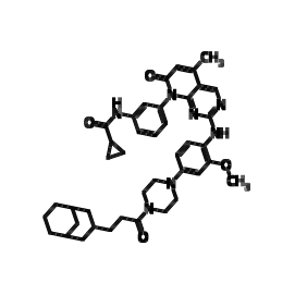 COc1cc(N2CCN(C(=O)CCC3CC4CCCC(C4)C3)CC2)ccc1Nc1ncc2c(C)cc(=O)n(-c3cccc(NC(=O)C4CC4)c3)c2n1